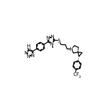 Cn1c(SCCCN2CC[C@]3(C[C@@H]3c3ccc(C(F)(F)F)cc3)C2)nnc1-c1ccc(-c2nnn[nH]2)cc1